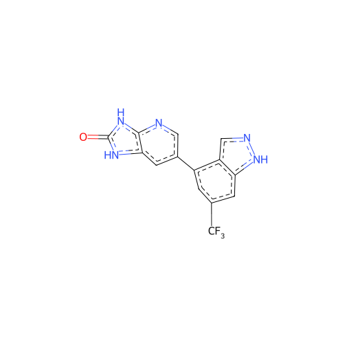 O=c1[nH]c2cc(-c3cc(C(F)(F)F)cc4[nH]ncc34)cnc2[nH]1